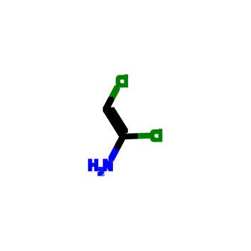 NC(Cl)=CCl